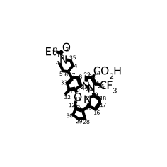 CCC(=O)N1CCC(c2ccc(OCC3=C(c4cccc(-n5ncc(C(=O)O)c5C(F)(F)F)n4)CCC3)c(C)c2)CC1